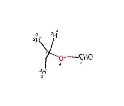 [2H]C([2H])([2H])OC=O